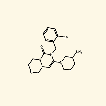 N#Cc1ccccc1CN1C(=O)N2CCOCC2C=C1N1CCCC(N)C1